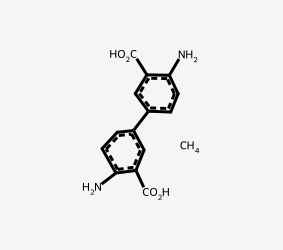 C.Nc1ccc(-c2ccc(N)c(C(=O)O)c2)cc1C(=O)O